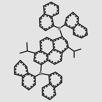 CC(C)c1cc(B(c2cccc3ccccc23)c2cccc3ccccc23)c2ccc3c(C(C)C)cc(B(c4cccc5ccccc45)c4cccc5ccccc45)c4ccc1c2c43